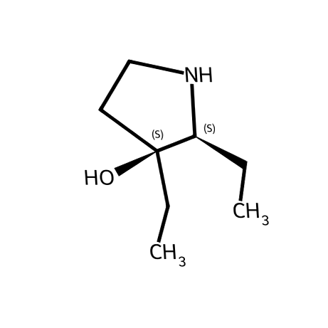 CC[C@@H]1NCC[C@@]1(O)CC